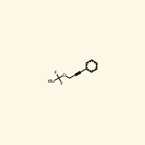 CC(C)(C)C(F)(F)OCC#Cc1ccccc1